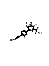 CCCC#Cc1ccc(-c2nc(C(=O)OC)c(Cl)c(N)c2F)cc1F